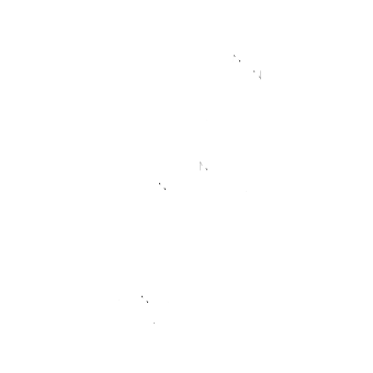 CN1C2C=C(c3ccc4c(=O)n(-c5ccc6nn(C)cc6c5)cnc4c3)CC1CC2